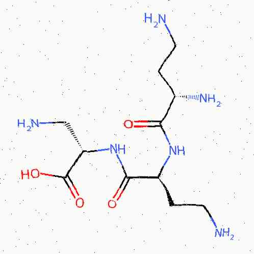 NCC[C@H](NC(=O)[C@@H](N)CCN)C(=O)N[C@@H](CN)C(=O)O